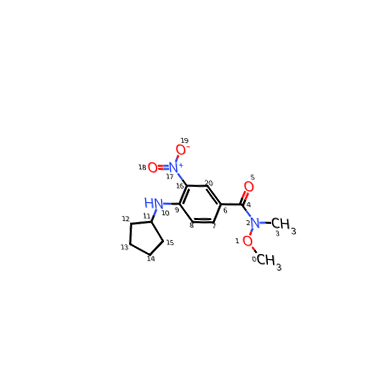 CON(C)C(=O)c1ccc(NC2CCCC2)c([N+](=O)[O-])c1